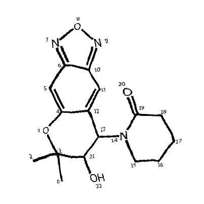 CC1(C)Oc2cc3nonc3cc2C(N2CCCCC2=O)C1O